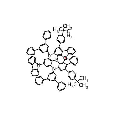 CC(C)(C)c1ccc(-c2cc3c(c4oc5ccccc5c24)B2c4c(cc(-n5c6ccccc6c6ccccc65)cc4N(c4cc(-c5ccccc5)cc(-c5ccccc5)c4)c4cc(-c5ccc(C(C)(C)C)cc5)c5c(oc6ccccc65)c42)N3c2cc(-c3ccccc3)cc(-c3ccccc3)c2)cc1